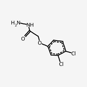 NNC(=O)COc1ccc(Cl)c(Cl)c1